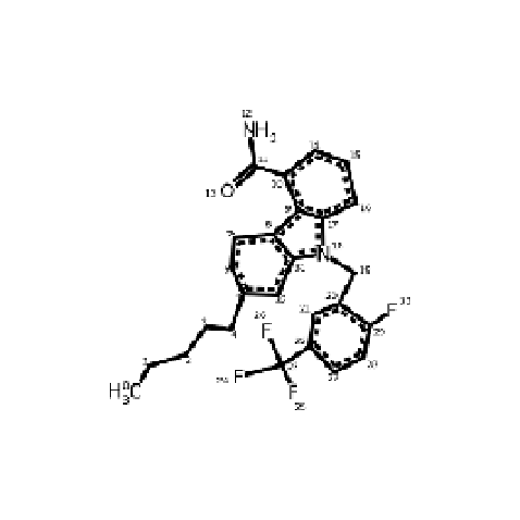 CCCCCc1c[c]c2c3c(C(N)=O)cccc3n(Cc3cc(C(F)(F)F)ccc3F)c2c1